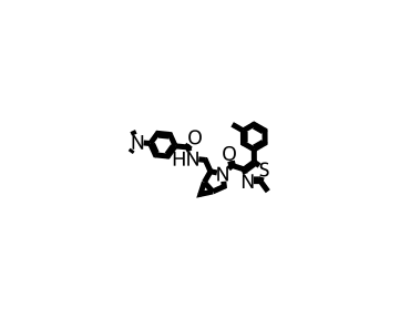 Cc1cccc(-c2sc(C)nc2C(=O)N2CC3CC3C2CNC(=O)c2ccc(N(C)C)cc2)c1